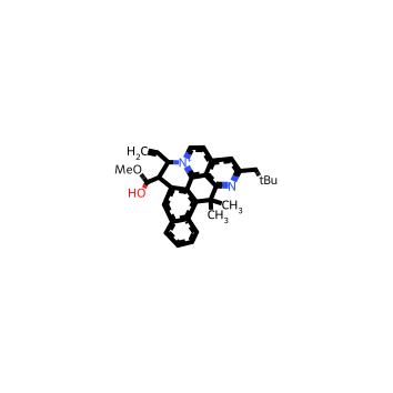 C=CC1C(C(O)OC)c2cc3ccccc3c3c2-c2c4c(nc(CC(C)(C)C)cc4cc[n+]21)C3(C)C